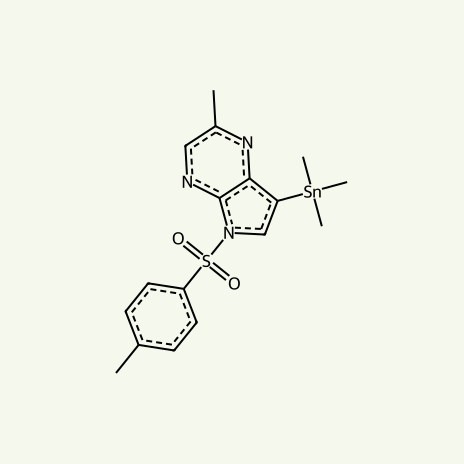 Cc1ccc(S(=O)(=O)n2c[c]([Sn]([CH3])([CH3])[CH3])c3nc(C)cnc32)cc1